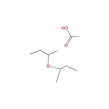 CC(=O)O.CCC(C)OC(C)CC